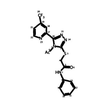 CC(=O)n1c(SCC(=O)Nc2ccccc2)nnc1-c1cc(C(F)(F)F)ccn1